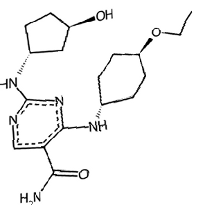 CCO[C@H]1CC[C@H](Nc2nc(N[C@@H]3CC[C@@H](O)C3)ncc2C(N)=O)CC1